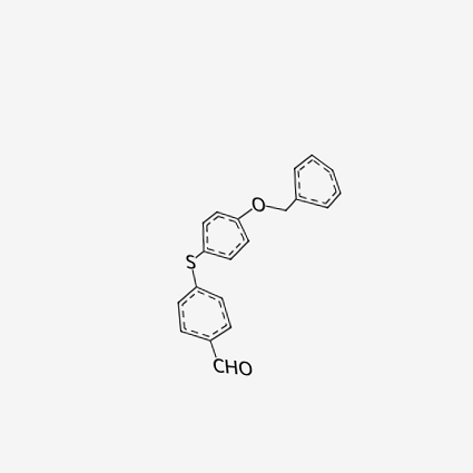 O=Cc1ccc(Sc2ccc(OCc3ccccc3)cc2)cc1